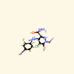 NC(=O)c1nn(CI)c(=O)c(Cl)c1Nc1ccc(I)cc1F